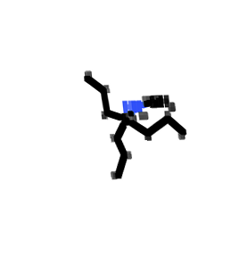 CCC[Si](CCC)(CCC)N[SiH3]